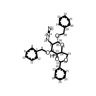 [N-]=[N+]=NC1C(OCc2ccccc2)[C@@H]2OC(c3ccccc3)OCC2O[C@H]1OCc1ccccc1